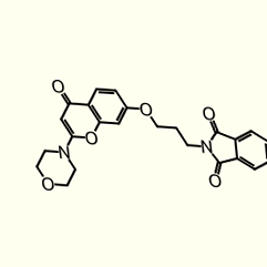 O=C1c2ccccc2C(=O)N1CCCOc1ccc2c(=O)cc(N3CCOCC3)oc2c1